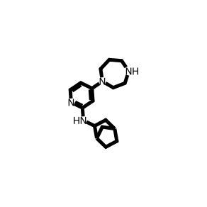 c1cc(N2CCCNCC2)cc(NC2CC3CCC2C3)n1